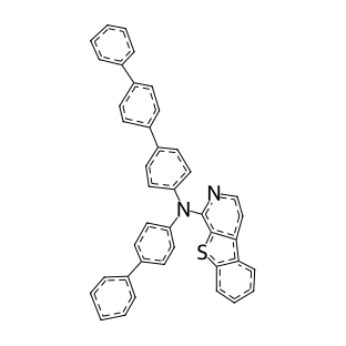 c1ccc(-c2ccc(-c3ccc(N(c4ccc(-c5ccccc5)cc4)c4nccc5c4sc4ccccc45)cc3)cc2)cc1